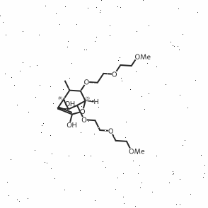 COCCOCCOC1C(C)[C@]2(O)C3=C(O)O[C@@H]1C(OCCOCCOC)C32